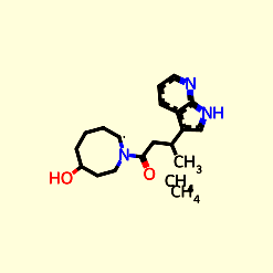 C.C.CC(CC(=O)N1[CH]CCCC(O)CC1)c1c[nH]c2ncccc12